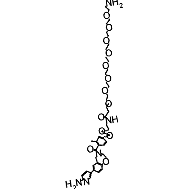 Cc1cc(S(=O)(=O)CCNC(=O)CCOCCOCCOCCOCCOCCOCCOCCOCCN)ccc1C(=O)N1CCOc2ccc(-c3ccc(N)nc3)cc2C1